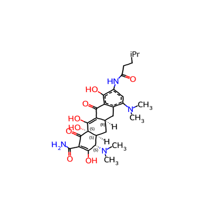 CC(C)CCC(=O)Nc1cc(N(C)C)c2c(c1O)C(=O)C1=C(O)[C@]3(O)C(=O)C(C(N)=O)=C(O)[C@@H](N(C)C)[C@@H]3C[C@@H]1C2